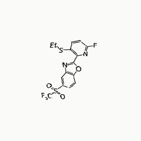 CCSc1ccc(F)nc1-c1nc2cc(S(=O)(=O)C(F)(F)F)ccc2o1